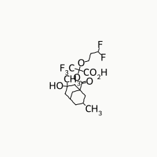 CC1CC2CC(C)(O)CC(C(=O)OC(OCCC(F)F)(C(=O)O)C(F)(F)F)(C1)C2